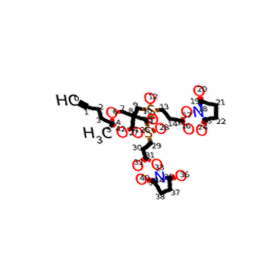 C#CCCC1(C)OCC(CS(=O)(=O)CCC(=O)ON2C(=O)CCC2=O)(CS(=O)(=O)CCC(=O)ON2C(=O)CCC2=O)CO1